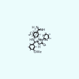 CC(=O)O.COc1cccc(C(Nc2ccc(C(=N)N)cc2)c2nn(-c3ncccn3)c(=O)[nH]2)c1